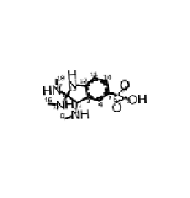 CNC1c2cc(S(=O)(=O)O)ccc2NC1(NC)NC